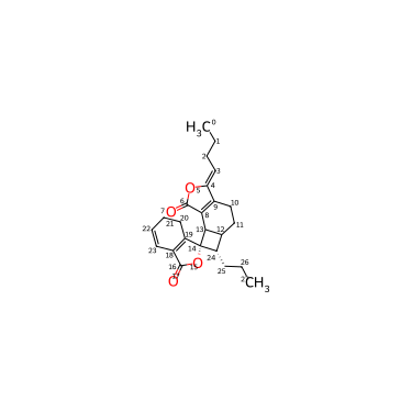 CCC/C=C1\OC(=O)C2=C1CCC1C2[C@@]2(OC(=O)C3=C2CCC=C3)[C@H]1CCC